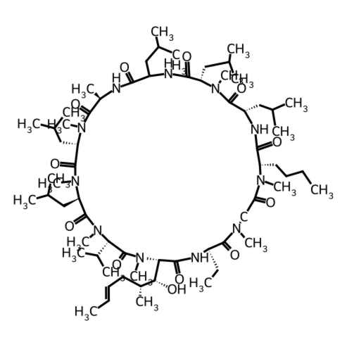 C/C=C/C[C@@H](C)[C@@H](O)[C@H]1C(=O)N[C@@H](CC)C(=O)N(C)CC(=O)N(C)[C@@H](CCCC)C(=O)N[C@@H](CC(C)C)C(=O)N(C)[C@@H](CC(C)C)C(=O)NC(CC(C)C)C(=O)N[C@H](C)C(=O)N(C)[C@@H](CC(C)C)C(=O)N(C)[C@H](CC(C)C)C(=O)N(C)[C@@H](C(C)C)C(=O)N1C